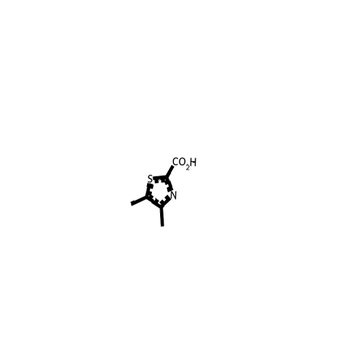 Cc1nc(C(=O)O)sc1C